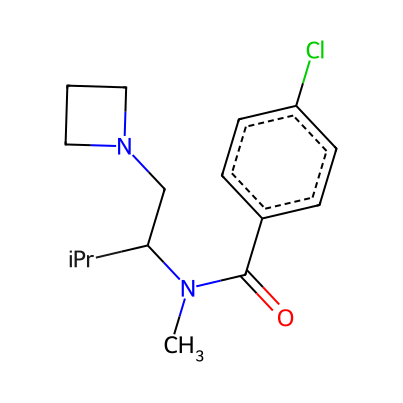 CC(C)C(CN1CCC1)N(C)C(=O)c1ccc(Cl)cc1